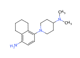 CN(C)C1CCN(c2ccc(N)c3c2CCCC3)CC1